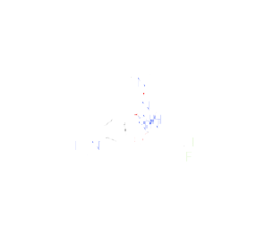 Cc1nnc(C(C)C)n1C1CC2CCC(C1)N2CC[C@H](NC(=O)C1CCC(F)(F)CC1)c1ccc(N)cc1